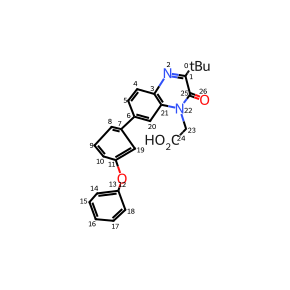 CC(C)(C)c1nc2ccc(-c3cccc(Oc4ccccc4)c3)cc2n(CC(=O)O)c1=O